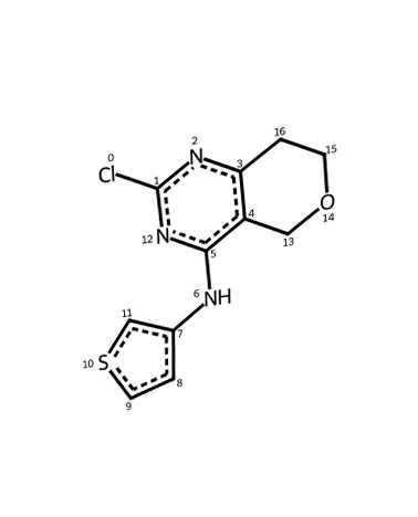 Clc1nc2c(c(Nc3ccsc3)n1)COCC2